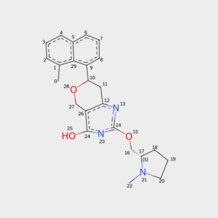 Cc1cccc2cccc(C3Cc4nc(OC[C@@H]5CCCN5C)nc(O)c4CO3)c12